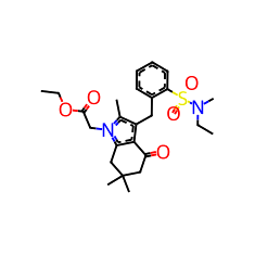 CCOC(=O)Cn1c(C)c(Cc2ccccc2S(=O)(=O)N(C)CC)c2c1CC(C)(C)CC2=O